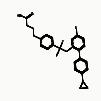 O=C(O)CCCc1ccc(C(F)(F)Cc2cc(F)ccc2-c2ccc(C3CC3)cc2)cc1